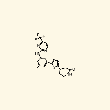 Cc1cc(Nc2nccc(C(F)(F)F)n2)cc(-c2cnc(C3CCNC(=O)C3)s2)c1